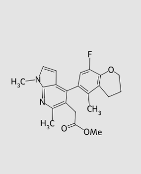 COC(=O)Cc1c(C)nc2c(ccn2C)c1-c1cc(F)c2c(c1C)CCCO2